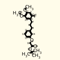 COc1cc(F)c(CC[CH]c2cccc(OCC(=O)OC(C)(C)C)c2)cc1OC